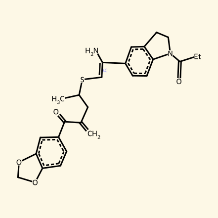 C=C(CC(C)S/C=C(\N)c1ccc2c(c1)CCN2C(=O)CC)C(=O)c1ccc2c(c1)OCO2